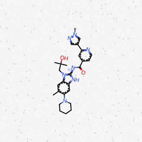 Cc1cc2c(cc1N1CCCCC1)[nH]/c(=N\C(=O)c1ccnc(-c3cnn(C)c3)c1)n2CC(C)(C)O